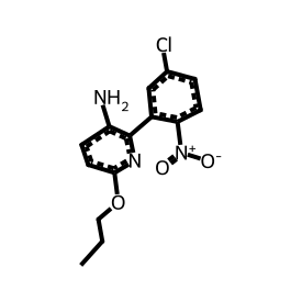 CCCOc1ccc(N)c(-c2cc(Cl)ccc2[N+](=O)[O-])n1